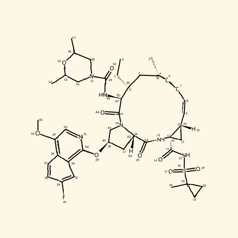 CC[C@@H]1C[C@H](C)CCC=C[C@@H]2C[C@@]2(C(=O)NS(=O)(=O)C2(C)CC2)NC(=O)[C@@H]2C[C@@H](Oc3ncc(OC)c4ccc(F)cc34)CN2C(=O)[C@H]1NC(=O)N1CC(C)OC(C)C1